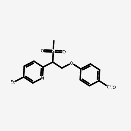 CCc1ccc(C(COc2ccc(C=O)cc2)S(C)(=O)=O)nc1